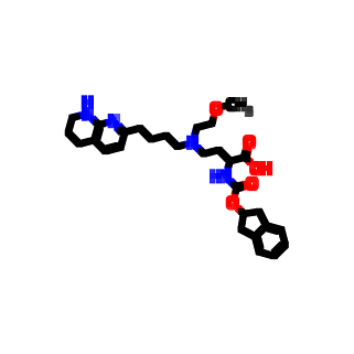 COCCN(CCCCc1ccc2c(n1)NCCC2)CCC(NC(=O)OC1Cc2ccccc2C1)C(=O)O